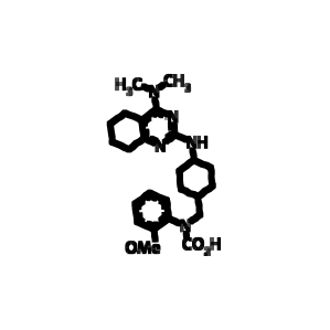 COc1ccccc1N(CC1CCC(Nc2nc3c(c(N(C)C)n2)CCCC3)CC1)C(=O)O